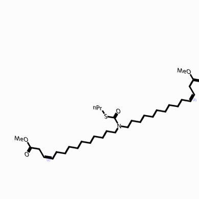 CCCSC(=O)N(CCCCCCCCCC/C=C\CC(=O)OC)CCCCCCCCCC/C=C\CC(=O)OC